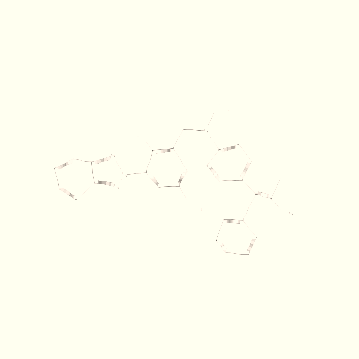 Cc1cc(CN(C)c2ccc(C(=C(C#N)C(=O)O)c3ccccc3)cc2)c(O)c(-n2nc3ccccc3n2)c1